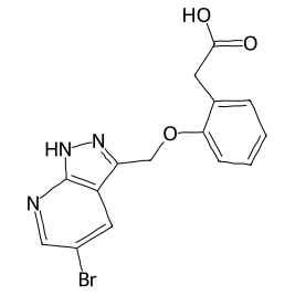 O=C(O)Cc1ccccc1OCc1n[nH]c2ncc(Br)cc12